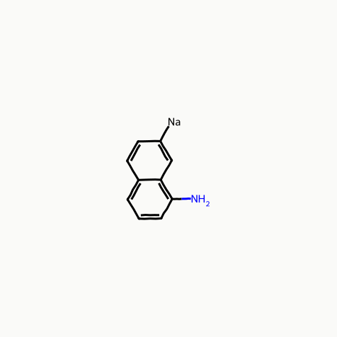 Nc1cccc2cc[c]([Na])cc12